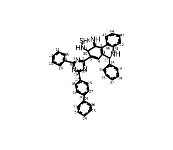 N=C1C2=C(C=C(c3nc(-c4ccccc4)nc(-c4ccc(-c5ccccc5)cc4)n3)C1NS)C(c1ccccc1)Nc1ccccc12